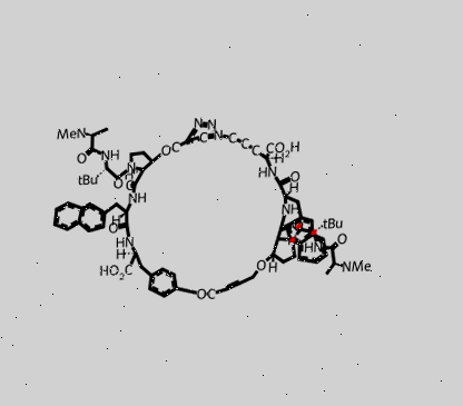 CN[C@@H](C)C(=O)N[C@H](C(=O)N1CC[C@@H]2OC/C=C/COc3ccc(cc3)C[C@@H](C(=O)O)NC(=O)[C@H](Cc3ccc4ccccc4c3)NC(=O)[C@@H]3C(CCN3C(=O)[C@@H](NC(=O)[C@H](C)NC)C(C)(C)C)OCc3cn(nn3)CCC[C@@H](C(=O)O)NC(=O)[C@H](Cc3ccc4ccccc4c3)NC(=O)C21)C(C)(C)C